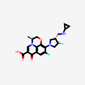 C[C@H]1COc2c(N3C[C@H](CNC4CC4)[C@@H](F)C3)c(F)cc3c(=O)c(C(=O)O)cn1c23